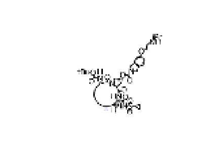 CC(C)NCCOc1ccc2c(c1)CN(C(=O)O[C@@H]1CC3C(=O)N[C@]4(C(=O)NS(=O)(=O)C5CC5)C[C@H]4/C=C\CCCCC[C@H](NC(=O)OC(C)(C)C)C(=O)N3C1)C2